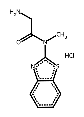 CN(C(=O)CN)c1nc2ccccc2s1.Cl